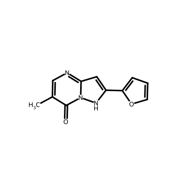 Cc1cnc2cc(-c3ccco3)[nH]n2c1=O